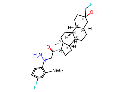 CNc1cc(F)ccc1N(N)CC(=O)[C@H]1CC[C@H]2[C@@H]3CC[C@@H]4C[C@@](O)(CF)CC[C@@H]4[C@H]3CC[C@]12C